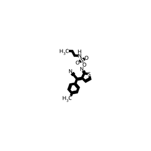 CCCNS(=O)(=O)O/N=C1\SC=C\C1=C(\C#N)c1ccc(C)cc1